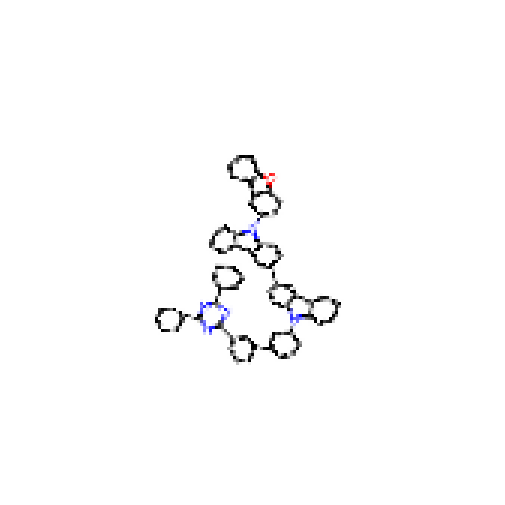 c1ccc(-c2nc(-c3ccccc3)nc(-c3cccc(-c4cccc(-n5c6ccccc6c6cc(-c7ccc8c(c7)c7ccccc7n8-c7ccc8oc9ccccc9c8c7)ccc65)c4)c3)n2)cc1